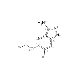 CCOc1nn2c(N)nnc2cc1C